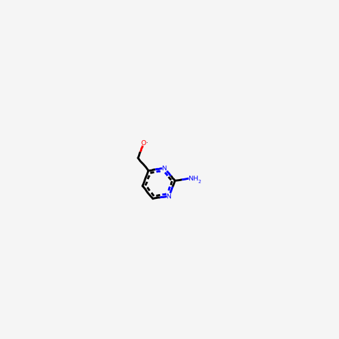 Nc1nccc(C[O])n1